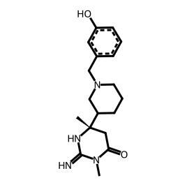 CN1C(=N)N[C@](C)(C2CCCN(Cc3cccc(O)c3)C2)CC1=O